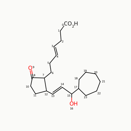 O=C(O)CCC=CCCC1C(=O)CCC1C=CC(O)C1CCCCCC1